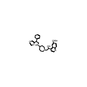 COc1ccc2nccc(C(O)CN3CCCC(NCC(C4=CC=CCC4)C4=COC=CO4)CC3)c2c1